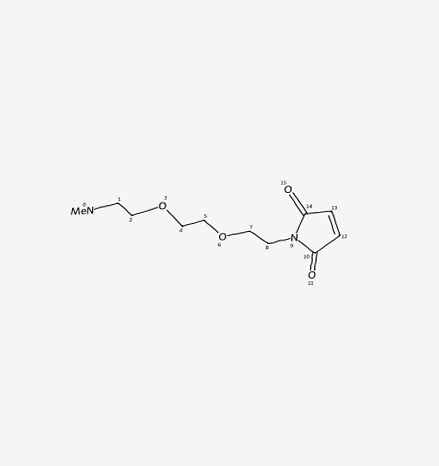 CNCCOCCOCCN1C(=O)C=CC1=O